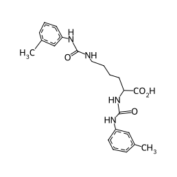 Cc1cccc(NC(=O)NCCCCC(NC(=O)Nc2cccc(C)c2)C(=O)O)c1